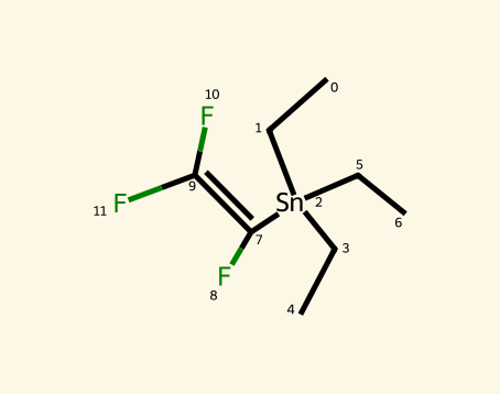 C[CH2][Sn]([CH2]C)([CH2]C)[C](F)=C(F)F